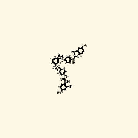 CC(C)c1ccc(NC(=O)Nc2ccc(OS(=O)(=O)c3cccc(S(=O)(=O)Oc4ccc(NC(=O)Nc5ccc(C(C)C)cc5C(C)C)cc4)c3)cc2)c(C(C)C)c1